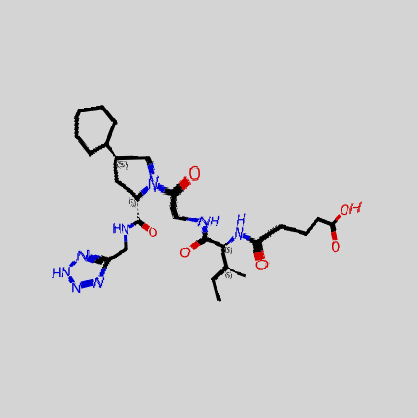 CC[C@H](C)[C@H](NC(=O)CCCC(=O)O)C(=O)NCC(=O)N1C[C@H](C2CCCCC2)C[C@H]1C(=O)NCc1nn[nH]n1